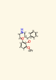 CC(C)Oc1ccccc1O[C@@H](c1ccccc1)[C@@H]1CNCCO1